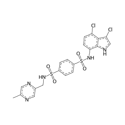 Cc1cnc(CNS(=O)(=O)c2ccc(S(=O)(=O)Nc3ccc(Cl)c4c(Cl)c[nH]c34)cc2)cn1